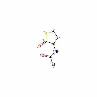 CCC(=O)NC1CCSC1=O